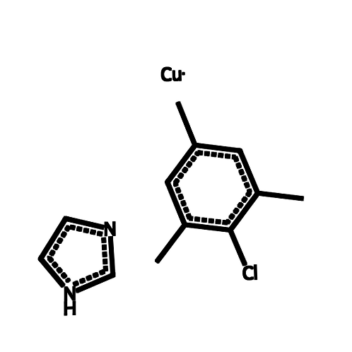 Cc1cc(C)c(Cl)c(C)c1.[Cu].c1c[nH]cn1